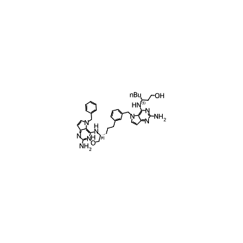 CCCC[C@@H](CCO)Nc1nc(N)nc2ccn(Cc3cccc(CCC[C@H](CO)Nc4nc(N)nc5ccn(Cc6ccccc6)c45)c3)c12